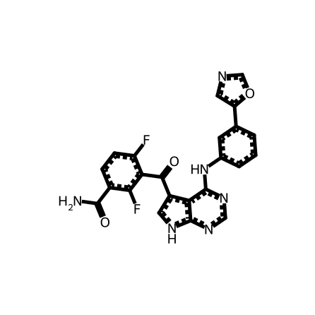 NC(=O)c1ccc(F)c(C(=O)c2c[nH]c3ncnc(Nc4cccc(-c5cnco5)c4)c23)c1F